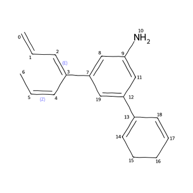 C=C/C=C(\C=C/C)c1cc(N)cc(C2=CCCC=C2)c1